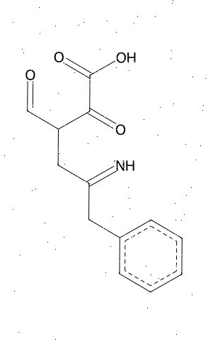 N=C(Cc1ccccc1)CC(C=O)C(=O)C(=O)O